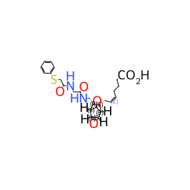 O=C(O)CCC/C=C\C[C@H]1[C@@H](CNC(=O)CNC(=O)CSc2ccccc2)[C@@H]2C(=O)[C@H]1[C@@H]1O[C@@H]12